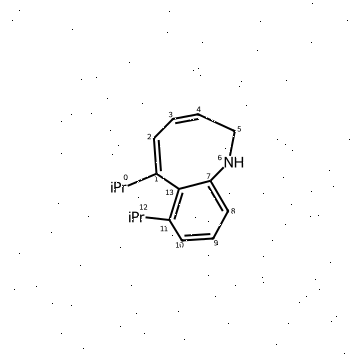 CC(C)/C1=C/C=C\CNc2cccc(C(C)C)c21